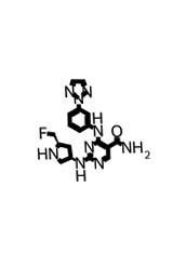 NC(=O)c1cnc(N[C@H]2CN[C@@H](CF)C2)nc1Nc1cccc(-n2nccn2)c1